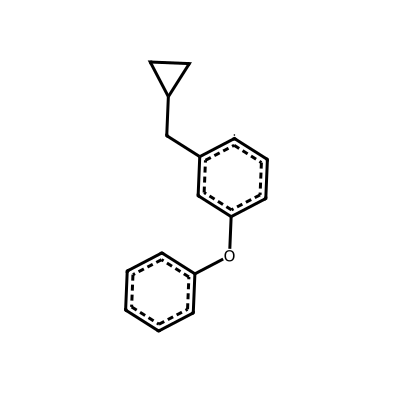 [c]1ccc(Oc2ccccc2)cc1CC1CC1